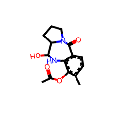 CC(=O)Oc1c(C)ccc2c1NC(O)C1CCCN1C2=O